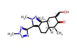 C[C@@H]1C(=O)/C(=C\O)C[C@]2(C)c3nn(C)c(-c4nnn(C)n4)c3CC[C@@H]12